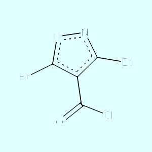 CCc1noc(CC)c1C(=O)Cl